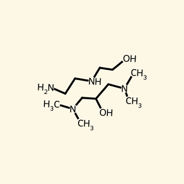 CN(C)CC(O)CN(C)C.NCCNCCO